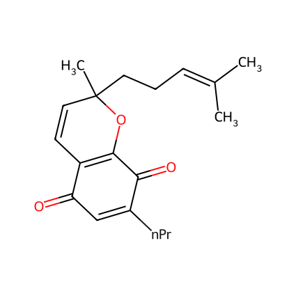 CCCC1=CC(=O)C2=C(OC(C)(CCC=C(C)C)C=C2)C1=O